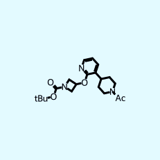 CC(=O)N1CCC(c2cccnc2OC2CN(C(=O)OC(C)(C)C)C2)CC1